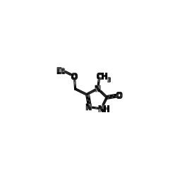 CCOCc1n[nH]c(=O)n1C